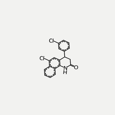 O=C1CC(c2cccc(Cl)c2)c2cc(Cl)c3ccccc3c2N1